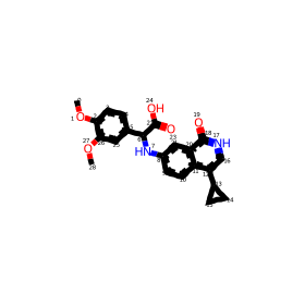 COc1ccc(C(Nc2ccc3c(C4CC4)c[nH]c(=O)c3c2)C(=O)O)cc1OC